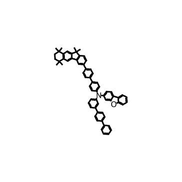 CC1(C)CCC(C)(C)c2cc3c(cc21)-c1cc(-c2ccc(-c4ccc(N(c5cccc(-c6ccc(-c7ccccc7)cc6)c5)c5ccc6c(c5)oc5ccccc56)cc4)cc2)ccc1C3(C)C